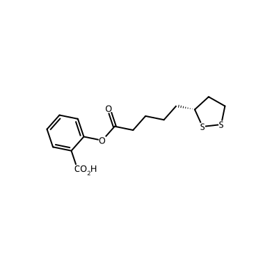 O=C(CCCC[C@@H]1CCSS1)Oc1ccccc1C(=O)O